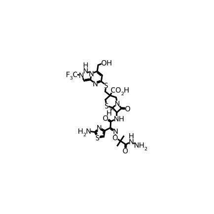 CC(C)(ON=C(C(=O)NC1C(=O)N2CC(CSC3=NC4=CN(C(F)(F)F)NN4C(CO)=C3)(C(=O)O)CS[C@H]12)c1csc(N)n1)C(=O)NN